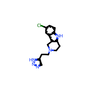 Clc1ccc2[nH]c3c(c2c1)CN(CCc1cnn[nH]1)CC3